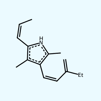 C=C(/C=C\c1c(C)[nH]c(/C=C\C)c1C)CC